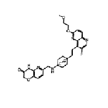 COCCOc1ccc2ncc(F)c(CCC34CCC(NCc5ccc6c(n5)NC(=O)CO6)(CC3)CO4)c2n1